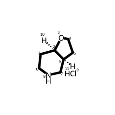 C1C[C@H]2OCC[C@H]2CN1.Cl